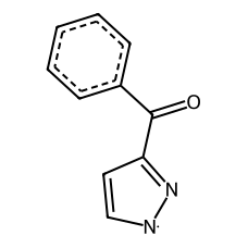 O=C(C1=N[N]C=C1)c1ccccc1